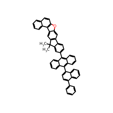 CC1(C)c2cc(-c3c4ccccc4c(-c4ccc(-c5ccccc5)c5ccccc45)c4ccccc34)ccc2-c2cc3oc4ccc5ccccc5c4c3cc21